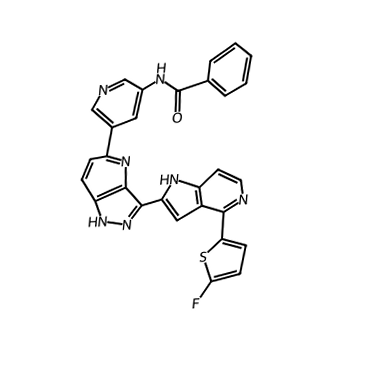 O=C(Nc1cncc(-c2ccc3[nH]nc(-c4cc5c(-c6ccc(F)s6)nccc5[nH]4)c3n2)c1)c1ccccc1